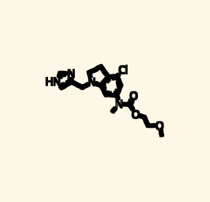 COCCOC(=O)N(C)c1cc(Cl)c2c(c1)N(Cc1c[nH]cn1)CC2